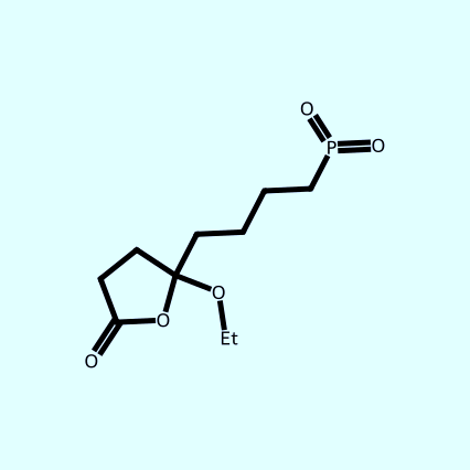 CCOC1(CCCCP(=O)=O)CCC(=O)O1